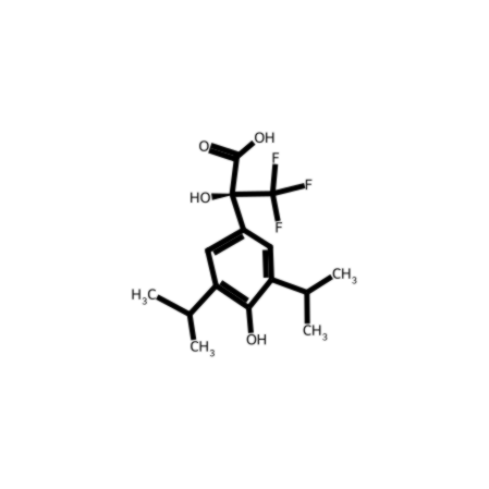 CC(C)c1cc([C@](O)(C(=O)O)C(F)(F)F)cc(C(C)C)c1O